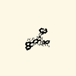 CN(C)C1(CNc2nc(OCC34CCCN3CCC4)nc3c(P)c(-c4cccc5cccc(F)c45)ncc23)CCCC1